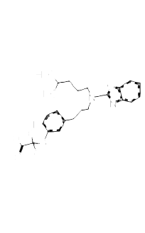 CC(C)CCCN(CCCc1cccc(OC(C)(C)C(=O)O)c1)c1nc2ccccc2o1